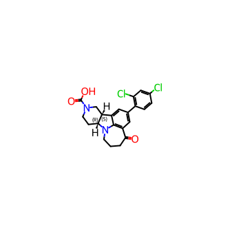 O=C1CCCN2c3c1cc(-c1ccc(Cl)cc1Cl)cc3[C@H]1CN(C(=O)O)CC[C@H]12